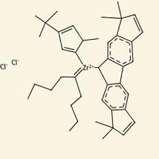 CCCC[C](CCCC)=[Zr+2]([C]1=CC(C(C)(C)C)=CC1C)[CH]1c2cc3c(cc2-c2cc4c(cc21)C(C)(C)C=C4)C=CC3(C)C.[Cl-].[Cl-]